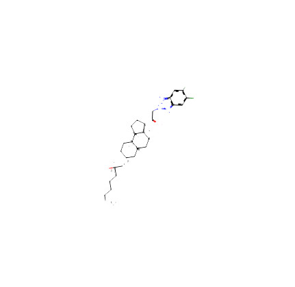 COCCCC[C@@](C)(O)C[C@@H]1CC[C@@H]2[C@H](CC[C@]3(C)[C@@H](C(=O)Cn4nc5cc(F)c(F)cc5n4)CC[C@@H]23)C1